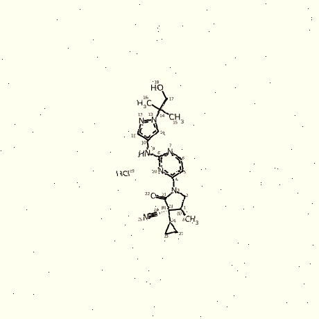 C[C@@H]1CN(c2ccnc(Nc3cnn(C(C)(C)CO)c3)n2)C(=O)[C@]1(C#N)C1CC1.Cl